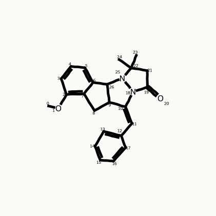 COc1cccc2c1CC1/C(=C\c3ccccc3)N3C(=O)CC(C)(C)N3C21